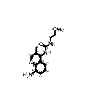 COCCNC(=O)Nc1c(C)cnc2c(N)cccc12